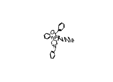 CNCCC(Oc1ccccc1NC1CCN(Cc2ccccc2)CC1)c1ccccc1